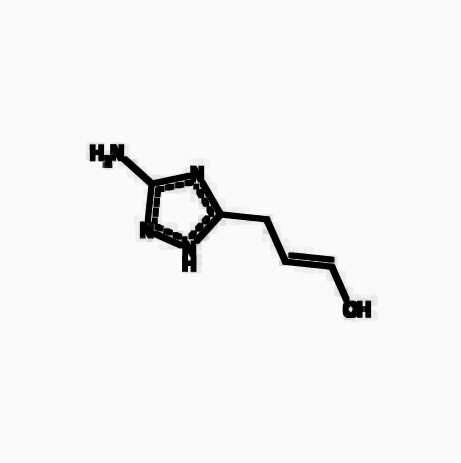 Nc1n[nH]c(CC=CO)n1